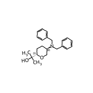 CC(C)(O)[C@@H]1CC[C@@H](N(Cc2ccccc2)Cc2ccccc2)CO1